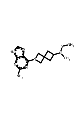 CN(SN)C1CC2(C1)CN(c1nc(N)nc3[nH]cnc13)C2